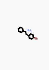 N[C@H](Cc1ccc(Br)cc1)c1ccccc1